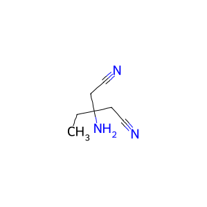 CCC(N)(CC#N)CC#N